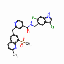 Cc1ccc2cc(Cc3cc(C(=O)NCc4cc5c(Cl)c[nH]c5cc4F)ccn3)cc(S(C)(=O)=O)c2n1